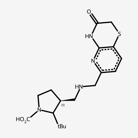 CC(C)(C)C1[C@H](CNCc2ccc3c(n2)NC(=O)CS3)CCN1C(=O)O